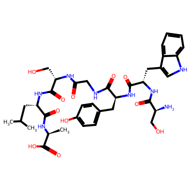 CC(C)C[C@H](NC(=O)[C@H](CO)NC(=O)CNC(=O)[C@H](Cc1ccc(O)cc1)NC(=O)[C@H](Cc1c[nH]c2ccccc12)NC(=O)[C@@H](N)CO)C(=O)N[C@@H](C)C(=O)O